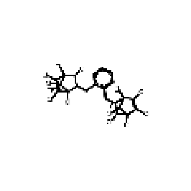 ClC1=C(Cl)C2(Cl)C(Cc3ccccc3CC3C(Cl)C4(Cl)C(Cl)=C(Cl)C3(Cl)C4(Cl)Cl)C(Cl)C1(Cl)C2(Cl)Cl